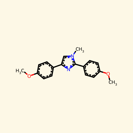 COc1ccc(-c2cn(C)c(-c3ccc(OC)cc3)n2)cc1